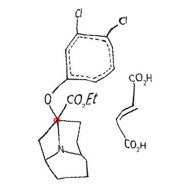 CCOC(=O)CN1C2CCC1CC(Oc1ccc(Cl)c(Cl)c1)C2.O=C(O)C=CC(=O)O